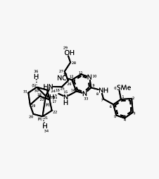 CSc1ccccc1CNc1ncc(C#N)c(NC[C@@]23CC4C[C@H](C2)[C@@H](NCCCCO)[C@@H](C4)C3)n1